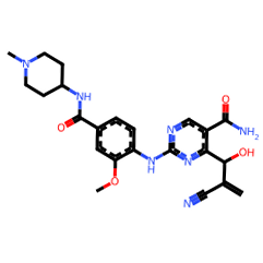 C=C(C#N)C(O)c1nc(Nc2ccc(C(=O)NC3CCN(C)CC3)cc2OC)ncc1C(N)=O